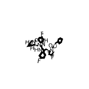 O=C(OCc1ccccc1)N1C[C@@H](F)C[C@H]1Cc1c(-c2nc3cc(F)ccc3n2C[C@@H]2[C@H]3C[C@H]3CN2C(=O)O)[nH]c2cc(F)ccc12